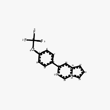 FC(F)(F)Oc1ccc(-c2cc3cccn3cn2)cc1